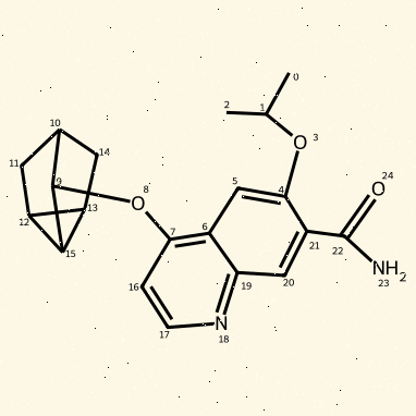 CC(C)Oc1cc2c(OC3C4CC5C(C4)C53)ccnc2cc1C(N)=O